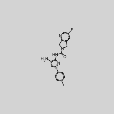 Cc1ccc(-n2cc(N)c(NC(=O)N3Cc4cc(F)cnc4C3)n2)cc1